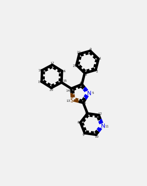 c1ccc(-c2nc(-c3cccnc3)sc2-c2ccccc2)cc1